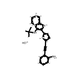 CC(C)(C)Nc1c(-c2ccc(C#Cc3ccccc3N)s2)nc2cnccn12.Cl